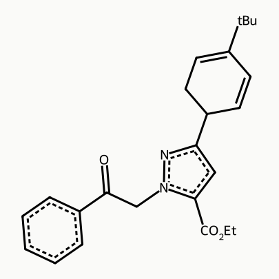 CCOC(=O)c1cc(C2C=CC(C(C)(C)C)=CC2)nn1CC(=O)c1ccccc1